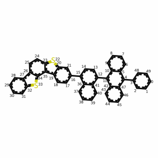 c1ccc(-c2c3ccccc3c(-c3ccc(-c4ccc5c(c4)sc4ccc6c7ccccc7sc6c45)c4ccccc34)c3ccccc23)cc1